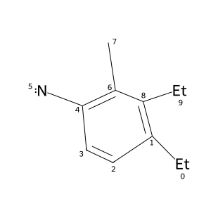 CCc1ccc([N])c(C)c1CC